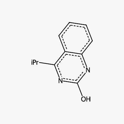 CC(C)c1nc(O)nc2ccccc12